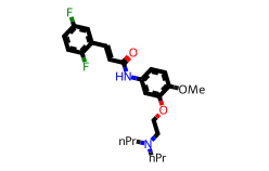 CCCN(CCC)CCOc1cc(NC(=O)C=Cc2cc(F)ccc2F)ccc1OC